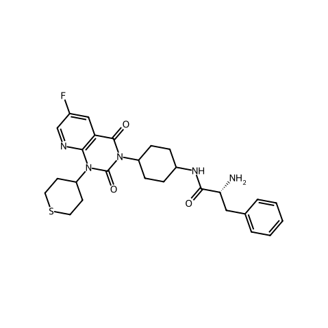 N[C@H](Cc1ccccc1)C(=O)NC1CCC(n2c(=O)c3cc(F)cnc3n(C3CCSCC3)c2=O)CC1